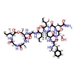 CC[C@@H](C)[C@@H](NC(=O)[C@@H](CCC(N)=O)NC(=O)[C@H](CO)NC(=O)[C@@H](NC(=O)[C@@H](Cc1ccccc1)NC)[C@@H](C)CC)C(=O)N[C@H](C(=O)NCC(=O)N[C@H]1C(=O)N[C@@H](C)C(=O)NCC(=O)N[C@@H]([C@@H](C)CC)C(=O)O[C@H]1C)[C@@H](C)CC